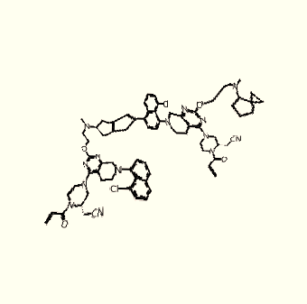 C=CC(=O)N1CCN(c2nc(OCCN(C)C3CC4CC(c5ccc(N6CCc7c(nc(OCCN(C)C8CCCC89CC9)nc7N7CCN(C(=O)C=C)[C@@H](CC#N)C7)C6)c6c(Cl)cccc56)CC4C3)nc3c2CCN(c2cccc4cccc(Cl)c24)C3)C[C@@H]1CC#N